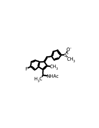 CC(=O)NC(C)C1=C(C)C(=Cc2ccc([S+](C)[O-])cc2)c2ccc(F)cc21